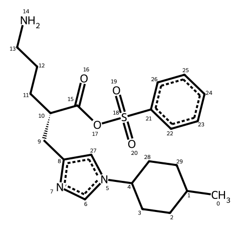 CC1CCC(n2cnc(C[C@H](CCCN)C(=O)OS(=O)(=O)c3ccccc3)c2)CC1